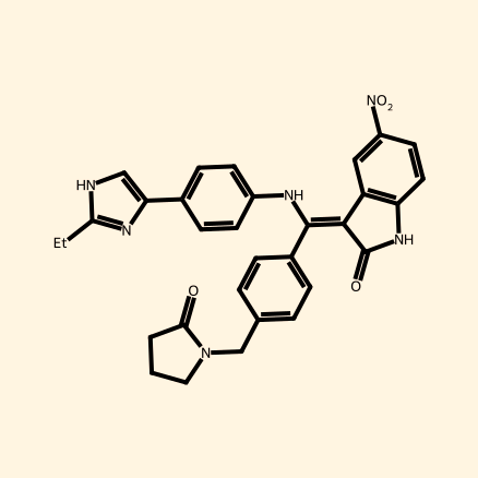 CCc1nc(-c2ccc(NC(=C3C(=O)Nc4ccc([N+](=O)[O-])cc43)c3ccc(CN4CCCC4=O)cc3)cc2)c[nH]1